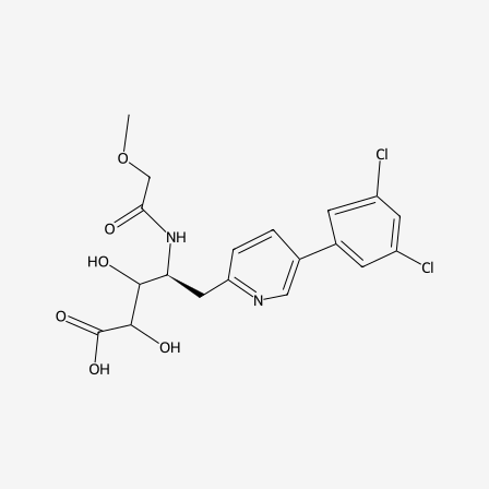 COCC(=O)N[C@@H](Cc1ccc(-c2cc(Cl)cc(Cl)c2)cn1)C(O)C(O)C(=O)O